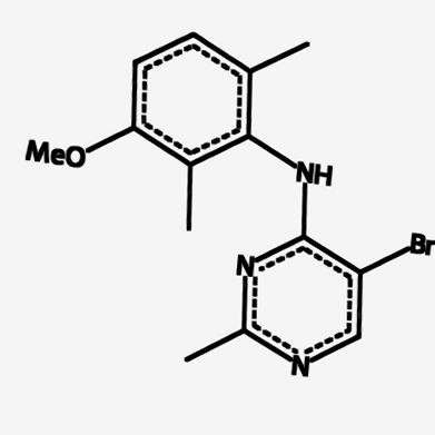 COc1ccc(C)c(Nc2nc(C)ncc2Br)c1C